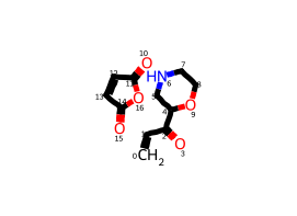 C=CC(=O)C1CNCCO1.O=C1C=CC(=O)O1